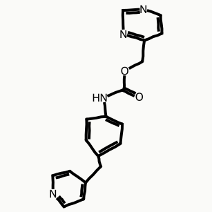 O=C(Nc1ccc(Cc2ccncc2)cc1)OCc1ccncn1